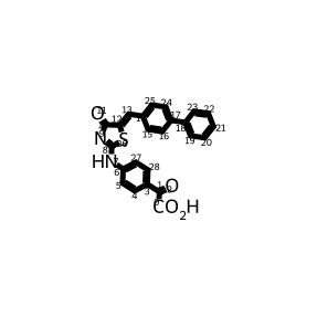 O=C(O)C(=O)c1ccc(NC2=NC(=O)C(=Cc3ccc(-c4ccccc4)cc3)S2)cc1